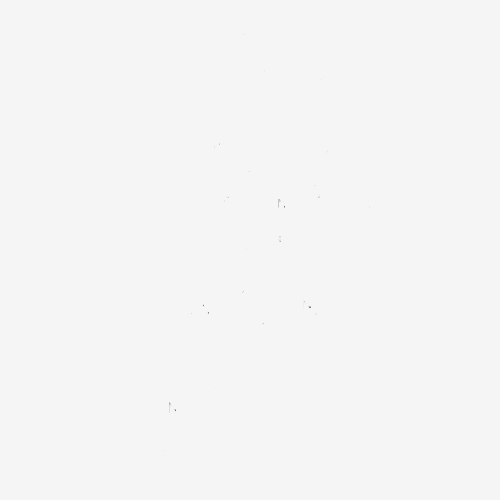 CC(=O)N1CC(N(C)c2cncc(N3C(=O)c4ccc(Cl)cc4C3(C)C)c2)C1